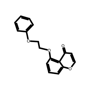 O=c1ccoc2cccc(OCCOc3ccccc3)c12